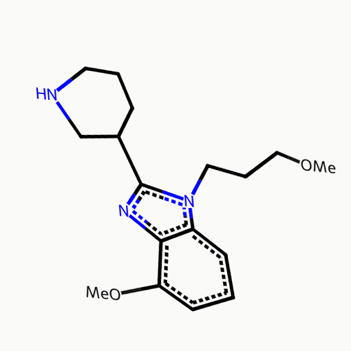 COCCCn1c(C2CCCNC2)nc2c(OC)cccc21